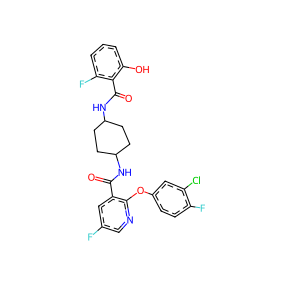 O=C(NC1CCC(NC(=O)c2c(O)cccc2F)CC1)c1cc(F)cnc1Oc1ccc(F)c(Cl)c1